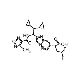 Cc1nonc1C(=O)NC(c1cn2ncc(C(CC(F)F)C(=O)O)cc2n1)C(C1CC1)C1CC1